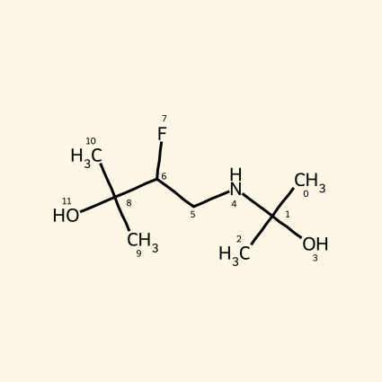 CC(C)(O)NCC(F)C(C)(C)O